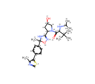 Cc1ncsc1-c1ccc(C2(C)NC(C3C[C@@H](O)CN3C(=O)C(NC(C)C)C(C)(C)C)=NO2)cc1